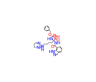 O=C(NC(CCCCNC1N=CCCN1)(NC(=O)c1cccc2cn[nH]c12)C(=O)O)OCc1ccccc1